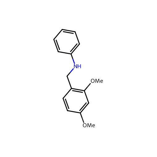 COc1ccc(CNc2ccccc2)c(OC)c1